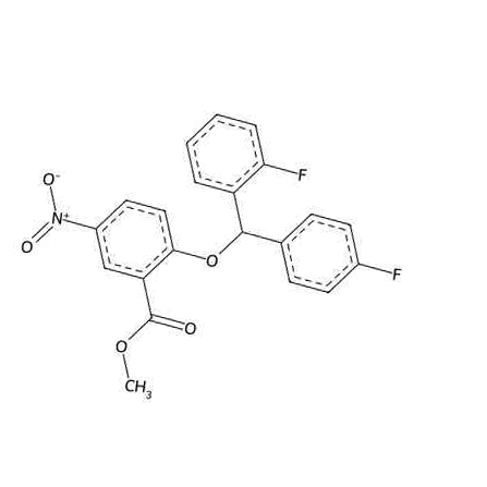 COC(=O)c1cc([N+](=O)[O-])ccc1OC(c1ccc(F)cc1)c1ccccc1F